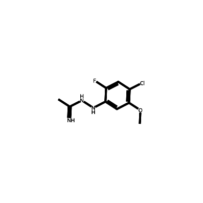 COc1cc(NNC(C)=N)c(F)cc1Cl